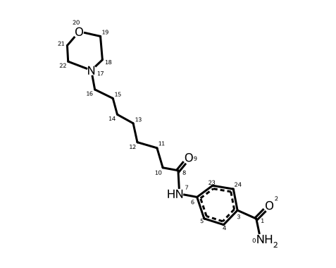 NC(=O)c1ccc(NC(=O)CCCCCCCN2CCOCC2)cc1